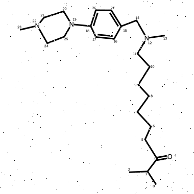 CC(C)C(=O)CCCCCCCN(C)Cc1ccc(N2CCN(C)CC2)cc1